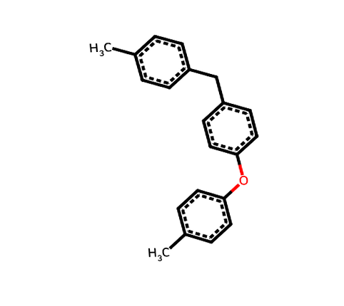 Cc1ccc(Cc2ccc(Oc3ccc(C)cc3)cc2)cc1